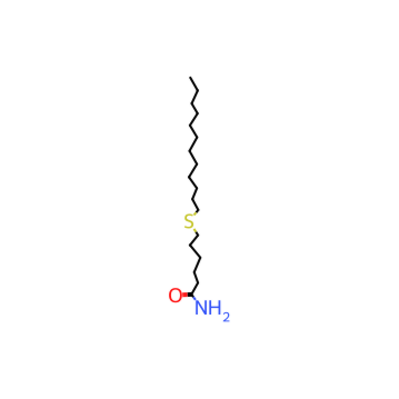 CCCCCCCCCCCCSCCCCCC(N)=O